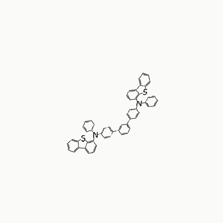 c1ccc(N(c2ccc(-c3cccc(-c4ccc(N(c5ccccc5)c5cccc6c5sc5ccccc56)cc4)c3)cc2)c2cccc3c2sc2ccccc23)cc1